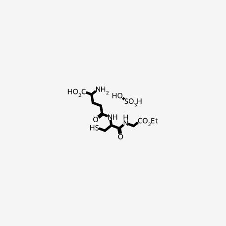 CCOC(=O)CNC(=O)C(CS)NC(=O)CCC(N)C(=O)O.O=S(=O)(O)O